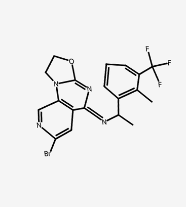 Cc1c(C(C)/N=c2\nc3n(c4cnc(Br)cc24)CCO3)cccc1C(F)(F)F